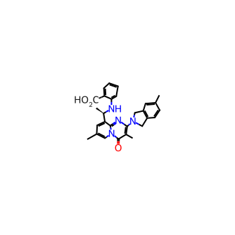 Cc1ccc2c(c1)CN(c1nc3c([C@@H](C)Nc4ccccc4C(=O)O)cc(C)cn3c(=O)c1C)C2